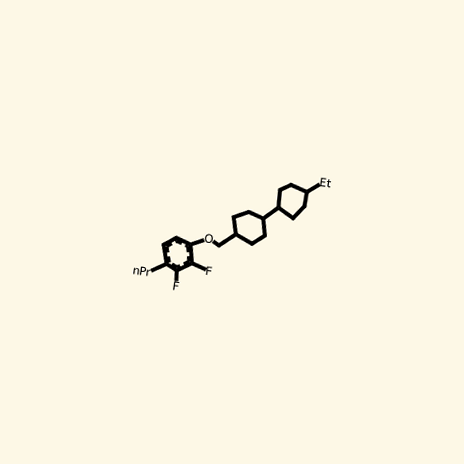 CCCc1ccc(OCC2CCC(C3CCC(CC)CC3)CC2)c(F)c1F